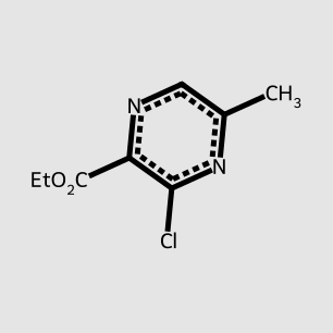 CCOC(=O)c1ncc(C)nc1Cl